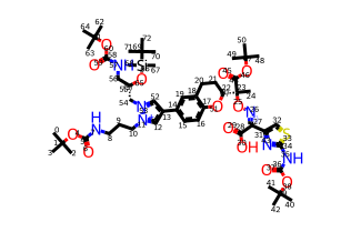 CC(C)(C)OC(=O)NCCC[n+]1cc(-c2ccc3c(c2)CC[C@H](C(C)(O/N=C(\C(=O)O)c2csc(NC(=O)OC(C)(C)C)n2)C(=O)OC(C)(C)C)O3)cn1C[C@H](CNC(=O)OC(C)(C)C)O[Si](C)(C)C(C)(C)C